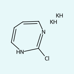 ClC1=NC=CC=CN1.[KH].[KH]